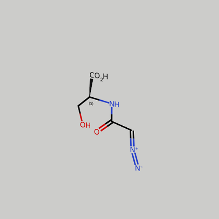 [N-]=[N+]=CC(=O)N[C@@H](CO)C(=O)O